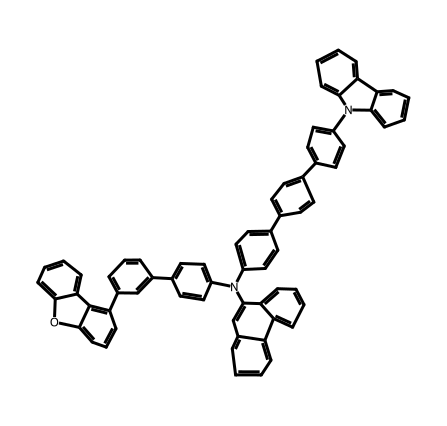 c1cc(-c2ccc(N(c3ccc(-c4ccc(-c5ccc(-n6c7ccccc7c7ccccc76)cc5)cc4)cc3)c3cc4ccccc4c4ccccc34)cc2)cc(-c2cccc3oc4ccccc4c23)c1